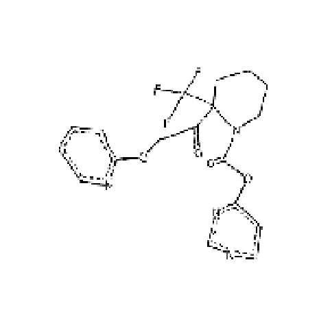 O=C(Oc1ccncn1)N1CCCCC1(C(=O)COc1ccccn1)C(F)(F)F